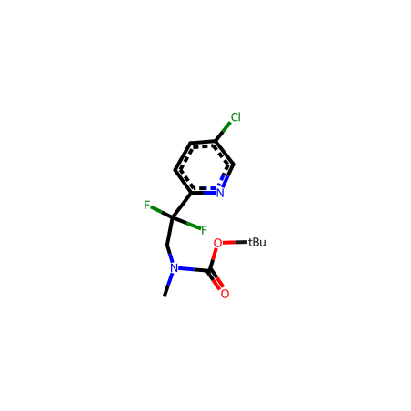 CN(CC(F)(F)c1ccc(Cl)cn1)C(=O)OC(C)(C)C